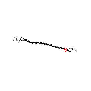 CCCCCCCCCCCCCCCCCCCCCCCCCCCCC[CH]OCCC